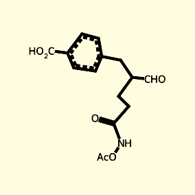 CC(=O)ONC(=O)CCC(C=O)Cc1ccc(C(=O)O)cc1